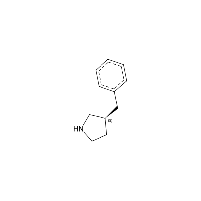 c1ccc(C[C@H]2CCNC2)cc1